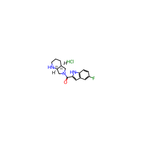 Cl.O=C(c1cc2cc(F)ccc2[nH]1)N1C[C@@H]2CCCN[C@@H]2C1